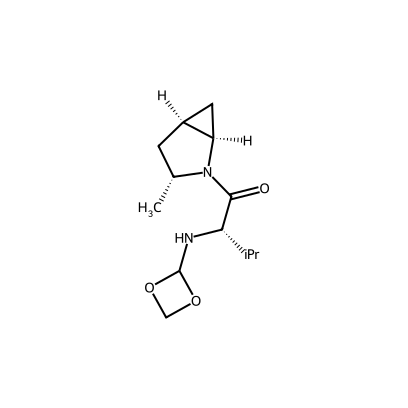 CC(C)[C@H](NC1OCO1)C(=O)N1[C@H](C)C[C@H]2C[C@H]21